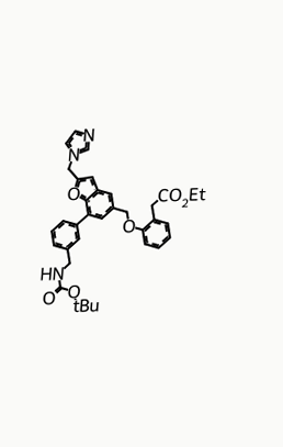 CCOC(=O)Cc1ccccc1OCc1cc(-c2cccc(CNC(=O)OC(C)(C)C)c2)c2oc(Cn3ccnc3)cc2c1